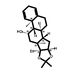 CC[C@@]12OC(C)(C)O[C@@H]1C[C@H]1[C@@H]3CCC4=CCC=C[C@]4(C)[C@H]3[C@@H](O)C[C@@]12C